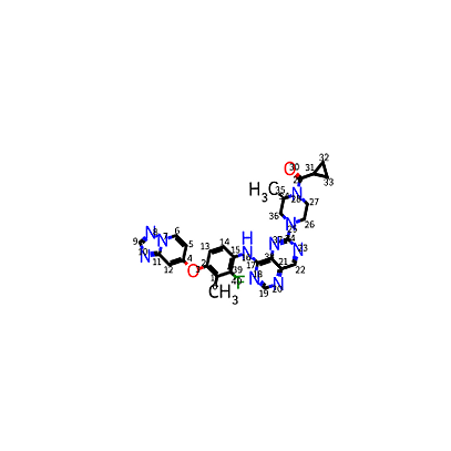 Cc1c(Oc2ccn3ncnc3c2)ccc(Nc2ncnc3cnc(N4CCN(C(=O)C5CC5)[C@H](C)C4)nc23)c1F